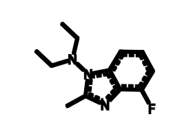 CCN(CC)n1c(C)nc2c(F)cccc21